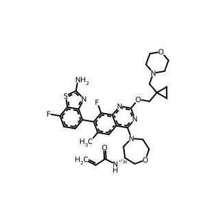 C=CC(=O)N[C@H]1COCCN(c2nc(OCC3(CN4CCOCC4)CC3)nc3c(F)c(-c4ccc(F)c5sc(N)nc45)c(C)cc23)C1